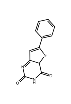 O=C1N=C2C=C(c3ccccc3)[N]C2C(=O)N1